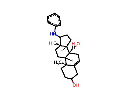 C[C@]12CCC(O)CC1=CC[C@@H]1[C@H]2CC[C@]2(C)C(Nc3ccccc3)CC[C@@H]12.O